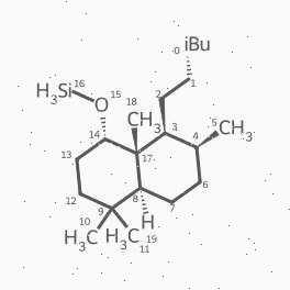 CC[C@@H](C)CC[C@H]1[C@@H](C)CC[C@H]2C(C)(C)CC[C@H](O[SiH3])[C@]12C